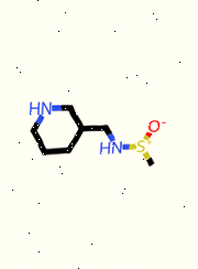 C[S+]([O-])NCC1CCCNC1